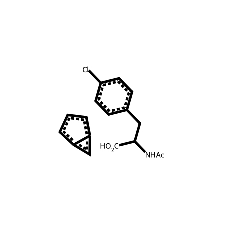 CC(=O)NC(Cc1ccc(Cl)cc1)C(=O)O.c1cc2cc-2c1